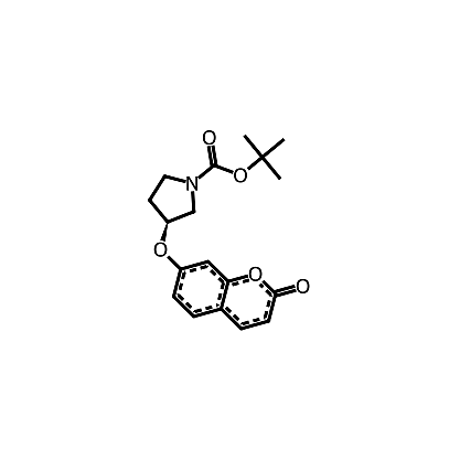 CC(C)(C)OC(=O)N1CC[C@H](Oc2ccc3ccc(=O)oc3c2)C1